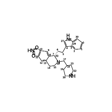 c1ccc2c(CC[C@H]3c4cc5c(cc4CCN3CC3CCNCC3)ONO5)c[nH]c2c1